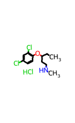 CCC(CCNC)Oc1ccc(Cl)cc1Cl.Cl